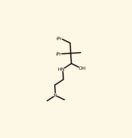 CC(C)CC(C)(C(C)C)C(O)NCCN(C)C